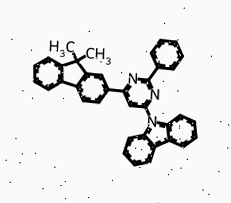 CC1(C)c2ccccc2-c2ccc(-c3cc(-n4c5ccccc5c5ccccc54)nc(-c4ccccc4)n3)cc21